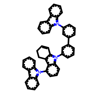 C1=Cc2c(c3c(-n4c5ccccc5c5ccccc54)cccc3n2-c2cccc(-c3cccc(-n4c5ccccc5c5ccccc54)c3)c2)CC1